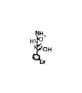 Cl.NCC(=O)Nc1nc(-c2cccc(Br)c2)cs1